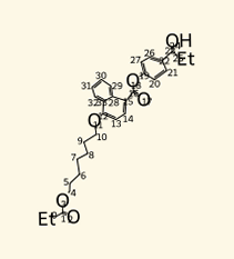 CCC(=O)OCCCCCCCOc1ccc(C(=O)Oc2ccc(C(O)CC)cc2)c2ccccc12